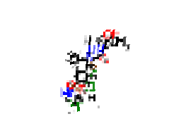 C[C@H](NS(=O)(=O)c1ccc(-c2sc(C(=O)NCC(C)(C)O)nc2C2CCCC2)c(Cl)c1Cl)C(F)(F)F